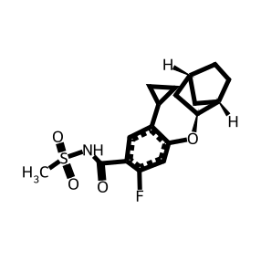 CS(=O)(=O)NC(=O)c1cc(C2CC2)c(O[C@H]2C[C@@H]3CC[C@H]2C3)cc1F